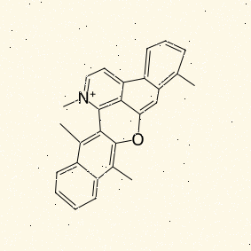 Cc1c2c(c(C)c3ccccc13)-c1c3c(cc4c(C)cccc4c3cc[n+]1C)O2